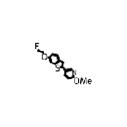 COc1ccc(-c2cc3ccc(OCCF)cc3s2)cn1